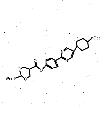 CCCCCCCCC1CCC(c2cnc(-c3ccc(OC(=O)C4COC(CCCCC)OC4)cc3)nc2)CC1